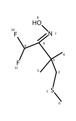 CSCC(C)(C)C(=NO)C(F)F